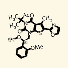 COc1ccccc1[C@H](Cn1c(=O)n(C(C)(C)C(C)=O)c(=O)c2c(C)c(-c3ncco3)sc21)OC(C)C